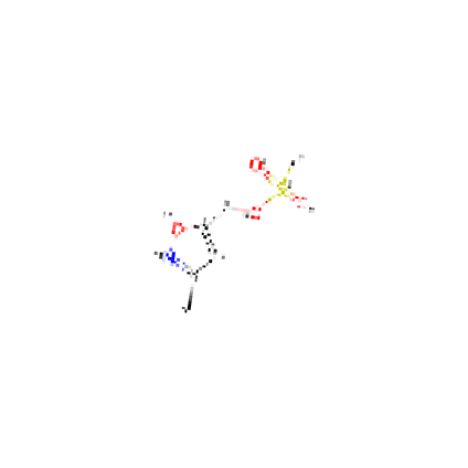 Cc1cc(COS(C)(=O)=O)on1